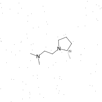 C[C@H]1CCCN1CCN(C)C